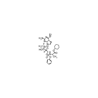 CCOC1=NC(N)=NC2C1N=CN2[C@@H]1O[C@](F)(COP(=O)(NC(C)C(=O)OC2CCCCC2)Oc2ccccc2)[C@@H](O)[C@@]1(C)F